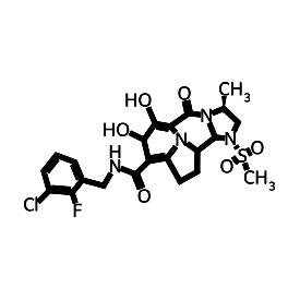 C[C@H]1CN(S(C)(=O)=O)C2C3CCC4=C(C(=O)NCc5cccc(Cl)c5F)C(O)C(O)=C(C(=O)N21)N43